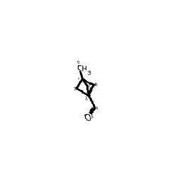 CC12CC(C=O)(C1)C2